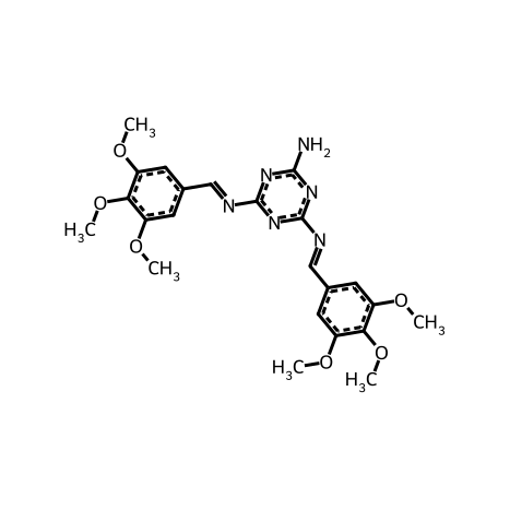 COc1cc(C=Nc2nc(N)nc(N=Cc3cc(OC)c(OC)c(OC)c3)n2)cc(OC)c1OC